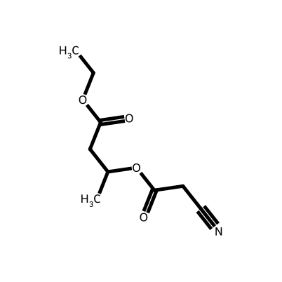 CCOC(=O)CC(C)OC(=O)CC#N